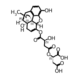 CN1CC[C@]23c4c5ccc(O)c4O[C@H]2C(OC(=O)[C@@H](O)CC(=O)O[C@@H](CC(=O)O)C(=O)O)=CC[C@@]3(O)[C@H]1C5